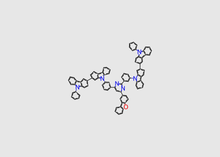 c1ccc(-n2c3ccccc3c3cc(-c4ccc5c6ccccc6n(-c6cccc(-c7cc(-c8ccc9oc%10ccccc%10c9c8)nc(-c8cccc(-n9c%10ccccc%10c%10ccc(-c%11ccc%12c(c%11)c%11ccccc%11n%12-c%11ccccc%11)cc%109)c8)n7)c6)c5c4)ccc32)cc1